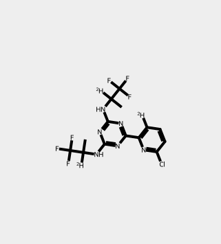 [2H]c1ccc(Cl)nc1-c1nc(NC([2H])(C)C(F)(F)F)nc(NC([2H])(C)C(F)(F)F)n1